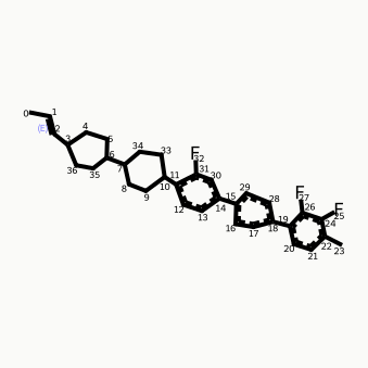 C/C=C/C1CCC(C2CCC(c3ccc(-c4ccc(-c5ccc(C)c(F)c5F)cc4)cc3F)CC2)CC1